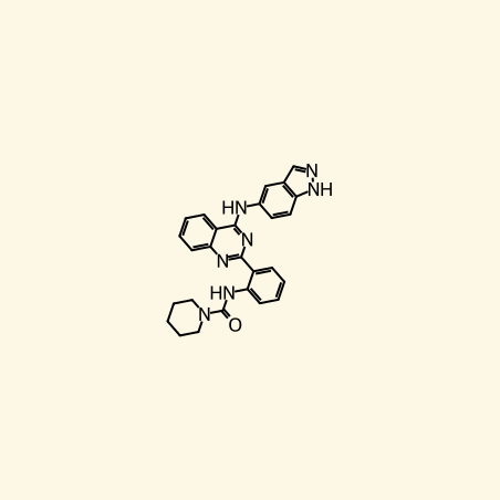 O=C(Nc1ccccc1-c1nc(Nc2ccc3[nH]ncc3c2)c2ccccc2n1)N1CCCCC1